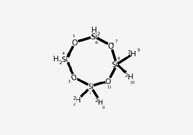 [2H][Si]1([2H])O[SiH2]O[SiH2]O[Si]([2H])([2H])O1